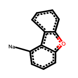 [Na][c]1cccc2oc3ccccc3c12